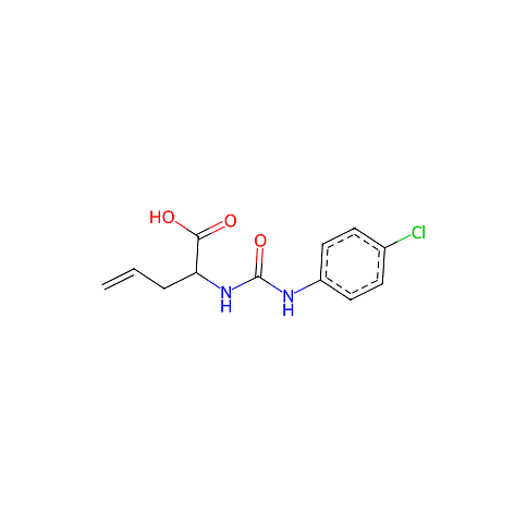 C=CCC(NC(=O)Nc1ccc(Cl)cc1)C(=O)O